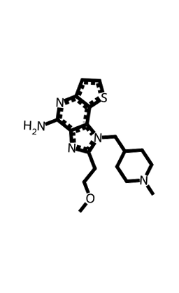 COCCc1nc2c(N)nc3ccsc3c2n1CC1CCN(C)CC1